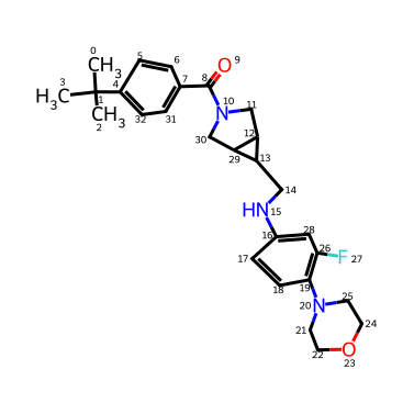 CC(C)(C)c1ccc(C(=O)N2CC3C(CNc4ccc(N5CCOCC5)c(F)c4)C3C2)cc1